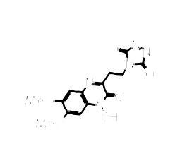 COc1cc2nc(CCN3C(=O)N=NC3=O)c(=O)n(C)c2cc1OC